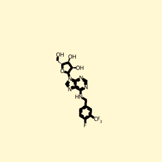 OC[C@H]1OC(n2cnc3c(NCc4ccc(F)c(C(F)(F)F)c4)ncnc32)[C@H](O)[C@@H]1O